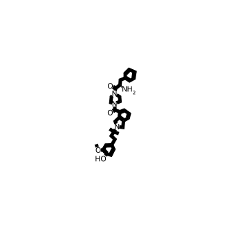 COc1cc(CCC(C)(C)N2Cc3cccc(C(=O)N4CCN(C(=O)[C@@H](N)Cc5ccccc5)CC4)c3C2)ccc1O